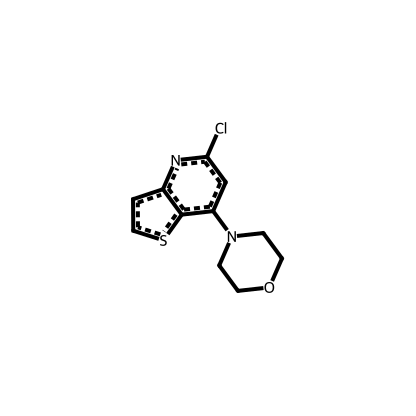 Clc1cc(N2CCOCC2)c2sccc2n1